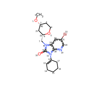 CO[C@@H]1CCO[C@H](Cn2c(=O)n(C3=CCCCC3)c3ncc(Br)cc32)C1